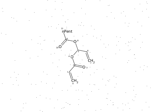 C=CC(=O)OC(C=C)OC(=O)CCCCC